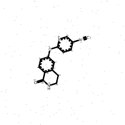 [C-]#[N+]c1ccc(Oc2ccc3c(c2)CCNC3=O)nc1